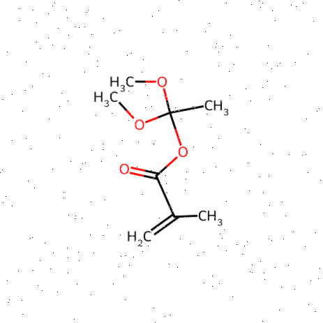 C=C(C)C(=O)OC(C)(OC)OC